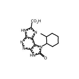 CC1CCCCC1n1c(=O)[nH]c2nnc3[nH]c(C(=O)O)nc3c21